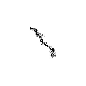 O=C1CCC(N2C(=O)c3cccc(CCCNCCCCCNC(=O)c4ccc(-n5cc(NC(=O)c6coc(-c7ccnc(NCC8CC8)c7)n6)c(C(F)(F)F)n5)cc4)c3C2=O)C(=O)N1